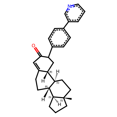 C[C@@]12CCC[C@H]1[C@@H]1CCC3=CC(=O)C(c4ccc(-c5cccnc5)cc4)C[C@@H]3[C@H]1CC2